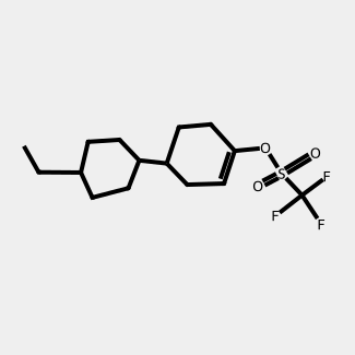 CCC1CCC(C2CC=C(OS(=O)(=O)C(F)(F)F)CC2)CC1